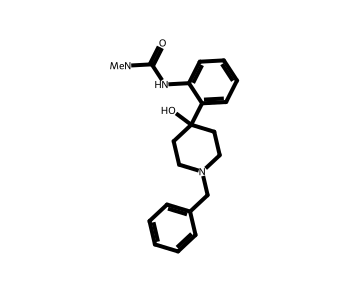 CNC(=O)Nc1ccccc1C1(O)CCN(Cc2ccccc2)CC1